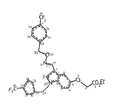 CCOC(=O)COc1ccc2c(c1)c(/C=N/OCc1ccc(C(F)(F)F)cc1)cn2Cc1ccc(C(F)(F)F)cc1